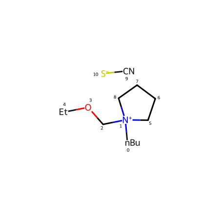 CCCC[N+]1(COCC)CCCC1.N#C[S-]